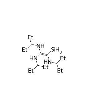 CCC(CC)NC([SiH3])=C(NC(CC)CC)NC(CC)CC